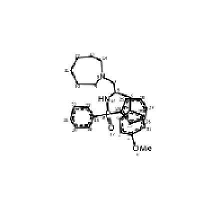 COc1ccc(CC(CN2CCCCCC2)NP(=O)(c2ccccc2)c2ccccc2)cc1